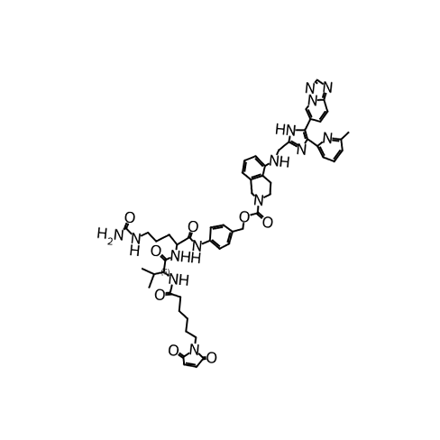 Cc1cccc(-c2nc(CNc3cccc4c3CCN(C(=O)OCc3ccc(NC(=O)C(CCCNC(N)=O)NC(=O)[C@@H](NC(=O)CCCCCN5C(=O)C=CC5=O)C(C)C)cc3)C4)[nH]c2-c2ccc3ncnn3c2)n1